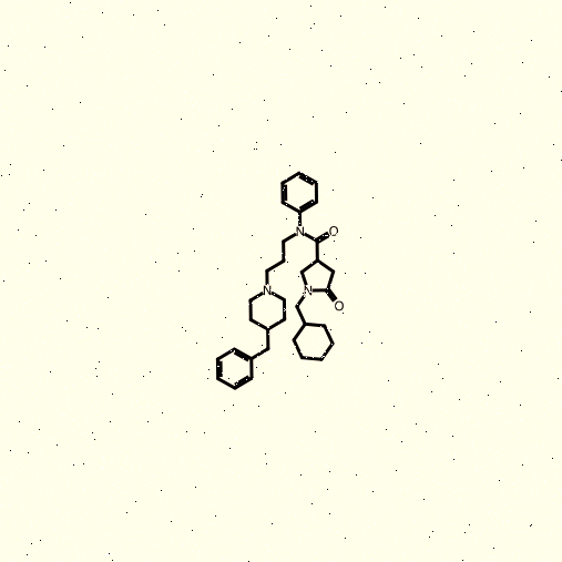 O=C1CC(C(=O)N(CCCN2CCC(Cc3ccccc3)CC2)c2ccccc2)CN1CC1CCCCC1